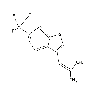 CC(C)=Cc1[c]sc2cc(C(F)(F)F)ccc12